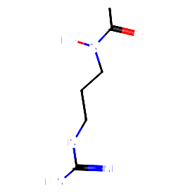 CC(=O)N(O)CCCNC(=N)N